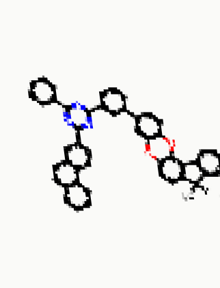 CC1(C)c2ccccc2-c2c1ccc1c2Oc2ccc(-c3cccc(-c4nc(-c5ccccc5)nc(-c5ccc6c(ccc7ccccc76)c5)n4)c3)cc2O1